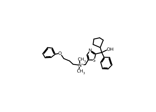 C[N+](C)(CCCOc1ccccc1)Cc1cnc(C(O)(c2ccccc2)C2CCCC2)s1